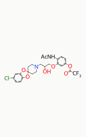 CC(=O)Nc1ccc(OC(=O)C(F)(F)F)cc1OC[C@@H](O)CN1CCC2(CC1)Oc1ccc(Cl)cc1O2